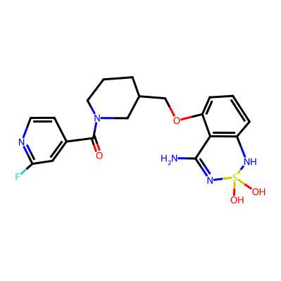 NC1=NS(O)(O)Nc2cccc(OCC3CCCN(C(=O)c4ccnc(F)c4)C3)c21